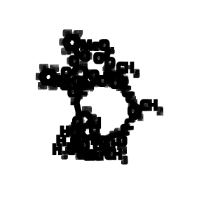 C=C1CC2CCC(=O)/C=C/C(O[Si](C)(C)C(C)(C)C)[C@@H]3O[C@H]4CCC(CC(=O)C[C@H]5C(C[C@H]6O[C@@H](CCC1O2)CC(C)=C6COC(=O)COC)OC(C[C@@H](COC(=O)c1ccccc1)OC(=O)c1ccccc1)[C@@H]5OC)O[C@@H]4[C@H](O)C3O[Si](C)(C)C(C)(C)C